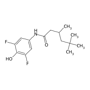 CC(CC(=O)Nc1cc(F)c(O)c(F)c1)CC(C)(C)C